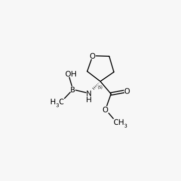 COC(=O)[C@]1(NB(C)O)CCOC1